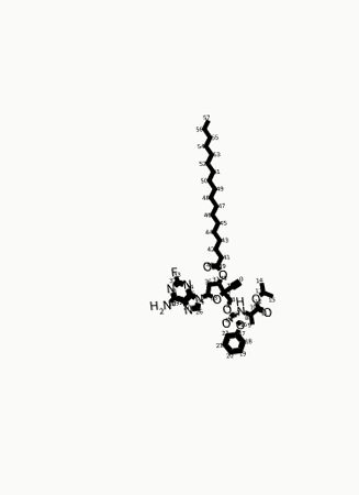 C#CC1(CO[P@@](=O)(NC(C)C(=O)OC(C)C)Oc2ccccc2)OC(n2cnc3c(N)nc(F)nc32)CC1OC(=O)CCCCCCCCCCCCCCCCC